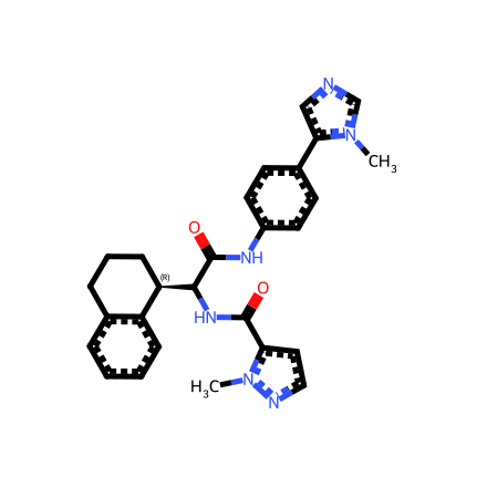 Cn1cncc1-c1ccc(NC(=O)C(NC(=O)c2ccnn2C)[C@@H]2CCCc3ccccc32)cc1